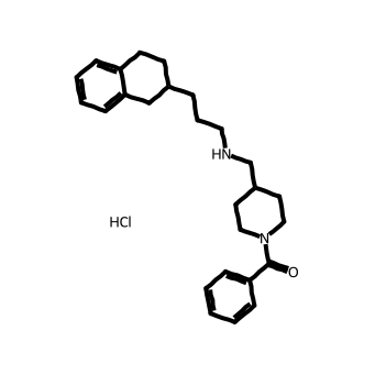 Cl.O=C(c1ccccc1)N1CCC(CNCCCC2CCc3ccccc3C2)CC1